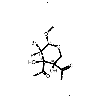 CO[C@H]1OC[C@](O)(C(C)=O)[C@](O)(C(C)=O)[C@]1(F)Br